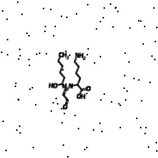 CCCCCC(O)/C=C/C=O.NCCCCC(N)C(=O)O